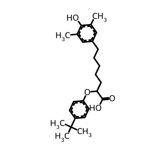 Cc1cc(CCCCCC(Oc2ccc(C(C)(C)C)cc2)C(=O)O)cc(C)c1O